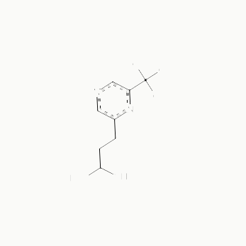 CC(C)CCc1cncc(C(C)(C)C)n1